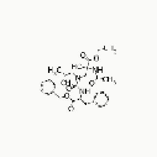 CCOC(=O)C(O)(CN(CC(C)C)C(=O)N[C@@H](Cc1ccccc1)C(=O)OCc1ccccc1)NC(C)=O